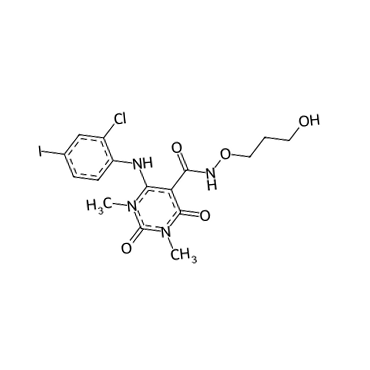 Cn1c(Nc2ccc(I)cc2Cl)c(C(=O)NOCCCO)c(=O)n(C)c1=O